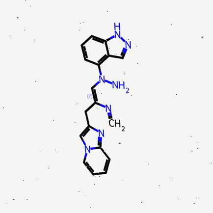 C=N/C(=C\N(N)c1cccc2[nH]ncc12)Cc1cn2ccccc2n1